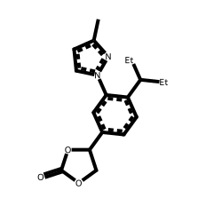 CCC(CC)c1ccc(C2COC(=O)O2)cc1-n1ccc(C)n1